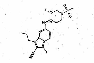 C#Cc1c(F)c2cnc(N[C@@H]3CCN(S(C)(=O)=O)C[C@H]3F)nn2c1CCC